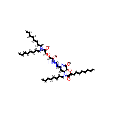 CCCCCCCCC(OCC(N)=O)C(=O)N(CCCCCCCC)CCCCCNC(=O)COCC(=O)N(CCCCCCCC)CCCCCCCC